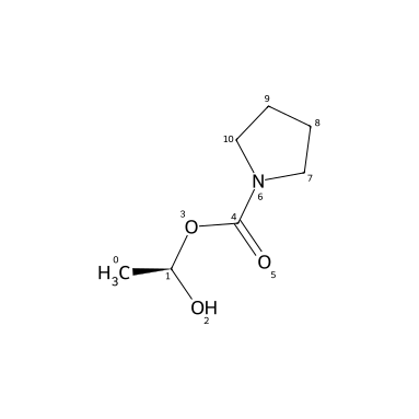 C[C@H](O)OC(=O)N1CCCC1